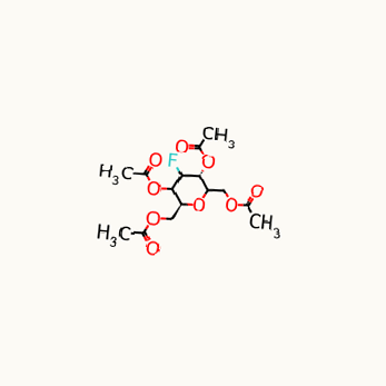 CC(=O)OCC1O[C@@H](COC(C)=O)C(OC(C)=O)C(F)[C@@H]1OC(C)=O